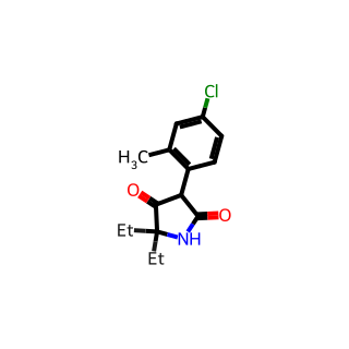 CCC1(CC)NC(=O)C(c2ccc(Cl)cc2C)C1=O